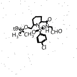 CC(C)(C)[Si](C)(C)OCC1CCCC(C(=O)NCC=O)N1S(=O)(=O)c1ccc(Cl)cc1